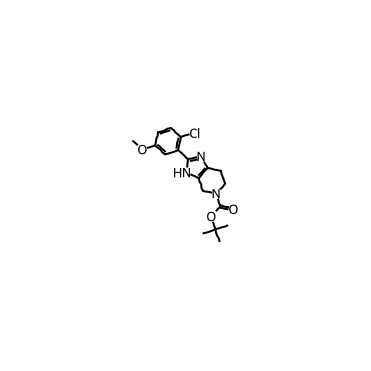 COc1ccc(Cl)c(-c2nc3c([nH]2)CN(C(=O)OC(C)(C)C)CC3)c1